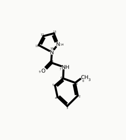 Cc1ccccc1NC(=O)n1cc[c]n1